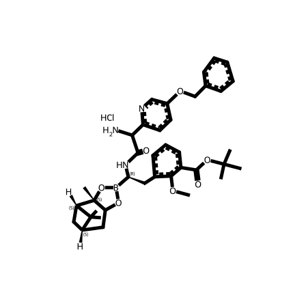 COc1c(C[C@H](NC(=O)C(N)c2ccc(OCc3ccccc3)cn2)B2OC3C[C@@H]4C[C@@H](C4(C)C)[C@]3(C)O2)cccc1C(=O)OC(C)(C)C.Cl